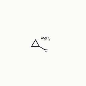 ClC1CC1.[MgH2]